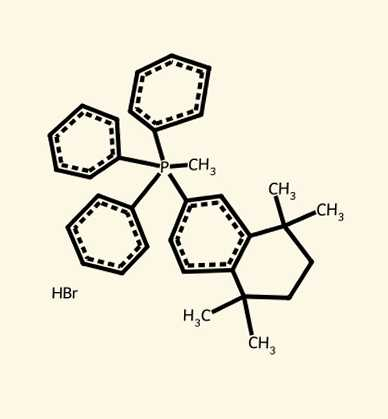 Br.CC1(C)CCC(C)(C)c2cc(P(C)(c3ccccc3)(c3ccccc3)c3ccccc3)ccc21